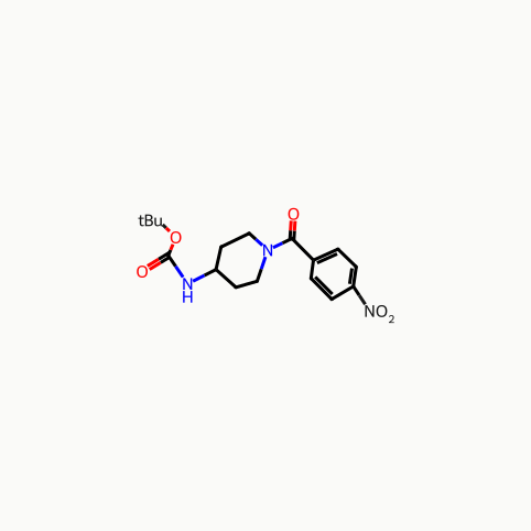 CC(C)(C)OC(=O)NC1CCN(C(=O)c2ccc([N+](=O)[O-])cc2)CC1